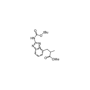 COC(=O)C(C)Cc1cccc2nc(NC(=O)OC(C)(C)C)nn12